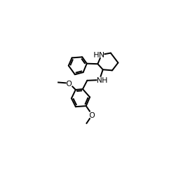 COc1ccc(OC)c(CNC2CCCNC2c2ccccc2)c1